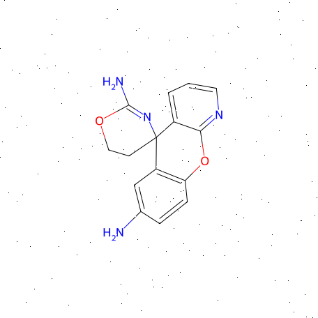 NC1=NC2(CCO1)c1cc(N)ccc1Oc1ncccc12